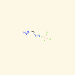 F[B-](F)(F)F.N=CN